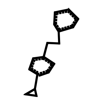 [c]1ccc(CCc2ccc(C3CC3)cc2)cc1